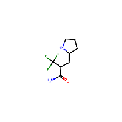 NC(=O)C(CC1CCCN1)C(F)(F)F